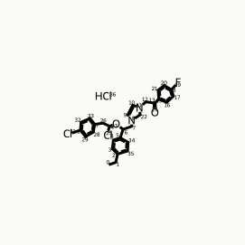 CCc1ccc(C(CN2C=CN(CC(=O)c3ccc(F)cc3)C2)OC(Cl)Cc2ccc(Cl)cc2)cc1.Cl